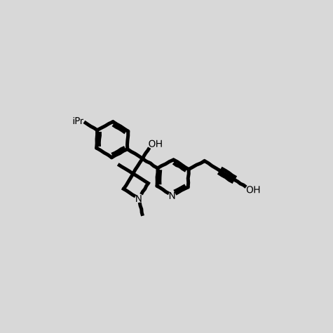 CC(C)c1ccc(C(O)(c2cncc(CC#CO)c2)C2(C)CN(C)C2)cc1